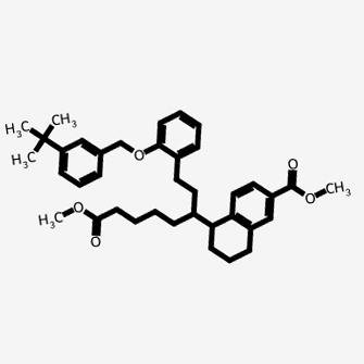 COC(=O)CCCCC(CCc1ccccc1OCc1cccc(C(C)(C)C)c1)C1CCCc2cc(C(=O)OC)ccc21